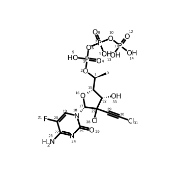 C[C@H](OP(=O)(O)OP(=O)(O)OP(=O)(O)O)[C@H]1O[C@@H](n2cc(F)c(N)nc2=O)C(Cl)(C#CCl)[C@H]1O